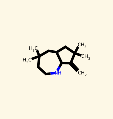 C=C1C2NCCC(C)(C)CC2CC1(C)C